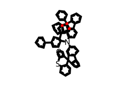 c1ccc(-c2ccc(N(c3ccc4c(c3)C(c3ccccc3)(c3ccccc3)c3ccccc3-4)c3ccc4c(c3)C3(c5ccccc5Sc5ccccc53)c3ccccc3-4)c(-c3ccccc3)c2)cc1